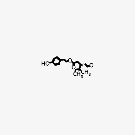 CC[C@@H](C)[C@@H](CC=O)CC(=O)OCCc1ccc(O)cc1